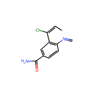 C=Nc1ccc(C(N)=O)cc1/C(Cl)=C\C